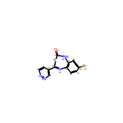 O=C1CC(c2ccnnc2)=Nc2ccc(Br)cc2N1